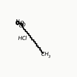 CCCCCCCCCCCCCCCCCCCCCCCCCCCC(=O)OC(=O)c1cccnc1.Cl